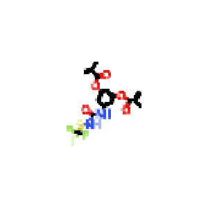 C=C(C)C(=O)Oc1cc(NC(=O)NSC(F)(F)F)cc(OC(=O)C(=C)C)c1